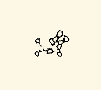 c1ccc(-c2nc(-c3ccccc3)nc(-c3ccc(-n4c5ccccc5c5cc6c(cc54)C4(c5ccccc5-c5ccccc54)c4ccccc4-6)cc3)n2)cc1